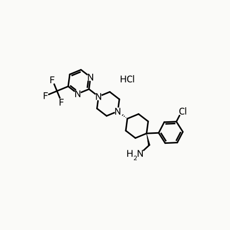 Cl.NC[C@]1(c2cccc(Cl)c2)CC[C@@H](N2CCN(c3nccc(C(F)(F)F)n3)CC2)CC1